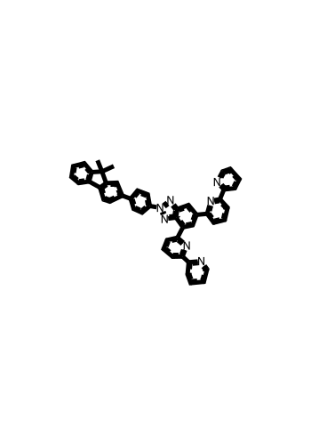 CC1(C)c2ccccc2-c2ccc(-c3ccc(-n4nc5cc(-c6cccc(-c7ccccn7)n6)cc(-c6cccc(-c7ccccn7)n6)c5n4)cc3)cc21